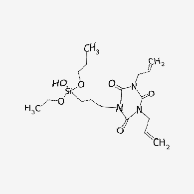 C=CCn1c(=O)n(CC=C)c(=O)n(CCC[Si](O)(OCC)OCCC)c1=O